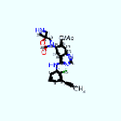 CC#Cc1cccc(Nc2ncnc3cc(OC)c(N4CC5(CNC5)OC4=O)cc23)c1F